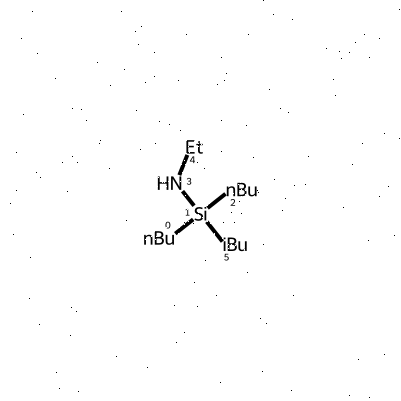 CCCC[Si](CCCC)(NCC)C(C)CC